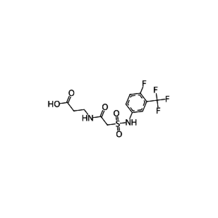 O=C(O)CCNC(=O)CS(=O)(=O)Nc1ccc(F)c(C(F)(F)F)c1